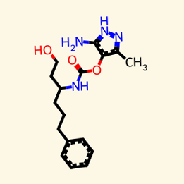 Cc1n[nH]c(N)c1OC(=O)NC(CCO)CCCc1ccccc1